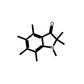 Cc1c(C)c(C)c2c(c1C)C(=O)C(C)(C)N2C